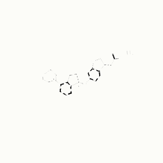 COC(=O)CC1COc2cc(O[C@@H]3CCc4c3cccc4N3CCOCC3)ccc21